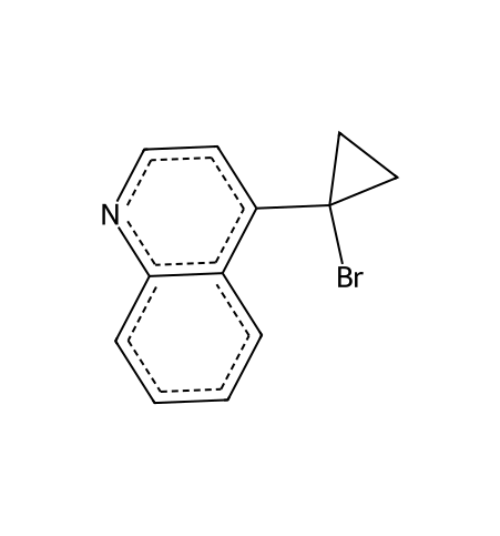 BrC1(c2ccnc3ccccc23)CC1